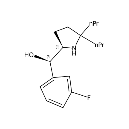 CCCC1(CCC)CC[C@H]([C@H](O)c2cccc(F)c2)N1